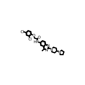 Cc1nc(N2CCC(N3CCCC3)CC2)nc2ccc(NC(=O)COc3ccc(Cl)cc3Cl)cc12